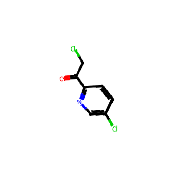 O=C(CCl)c1ccc(Cl)cn1